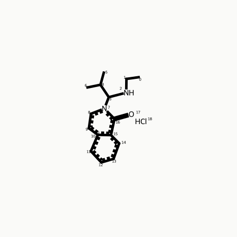 CCNC(C(C)C)n1ccc2ccccc2c1=O.Cl